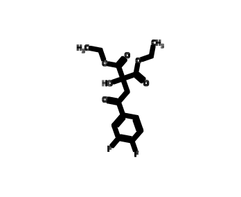 CCOC(=O)C(O)(CC(=O)c1ccc(F)c(F)c1)C(=O)OCC